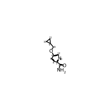 NC(=O)c1ccc(OCC2CC2)cn1